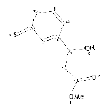 COC(=O)CC(O)C1=CC(=S)CC=C1